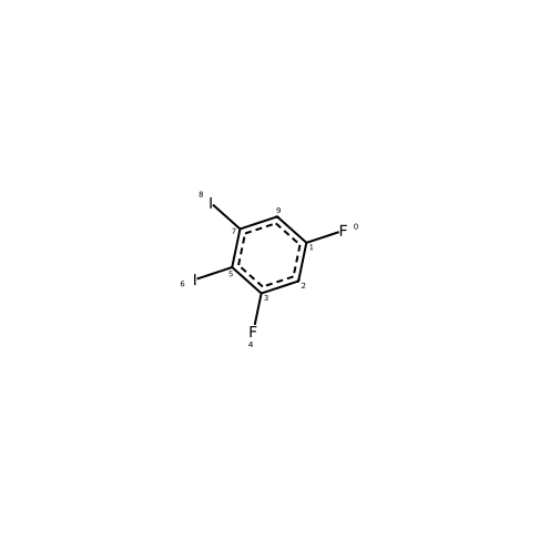 Fc1cc(F)c(I)c(I)c1